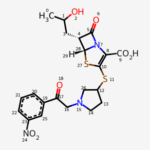 CC(O)C[C@@H]1C(=O)N2C(C(=O)O)=C(SC3CCN(CC(=O)c4cccc([N+](=O)[O-])c4)C3)S[C@H]12